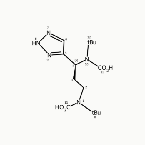 CC(C)(C)N(CC[C@@H](c1cn[nH]n1)N(C(=O)O)C(C)(C)C)C(=O)O